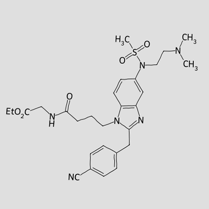 CCOC(=O)CNC(=O)CCCn1c(Cc2ccc(C#N)cc2)nc2cc(N(CCN(C)C)S(C)(=O)=O)ccc21